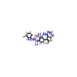 Cc1cccc(NC(=O)Nc2ccc(-c3c(C)sc4ncnc(N)c34)cc2F)c1